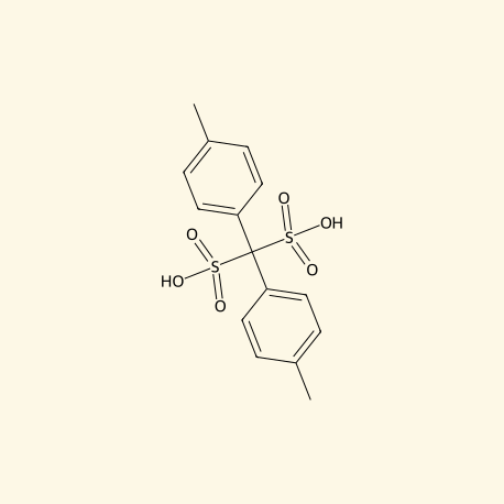 Cc1ccc(C(c2ccc(C)cc2)(S(=O)(=O)O)S(=O)(=O)O)cc1